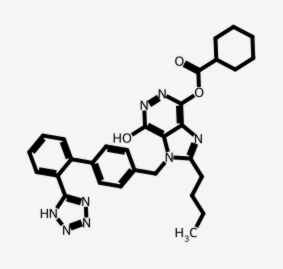 CCCCc1nc2c(OC(=O)C3CCCCC3)nnc(O)c2n1Cc1ccc(-c2ccccc2-c2nnn[nH]2)cc1